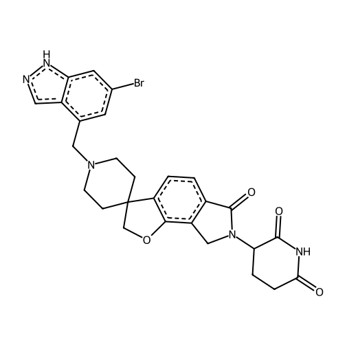 O=C1CCC(N2Cc3c(ccc4c3OCC43CCN(Cc4cc(Br)cc5[nH]ncc45)CC3)C2=O)C(=O)N1